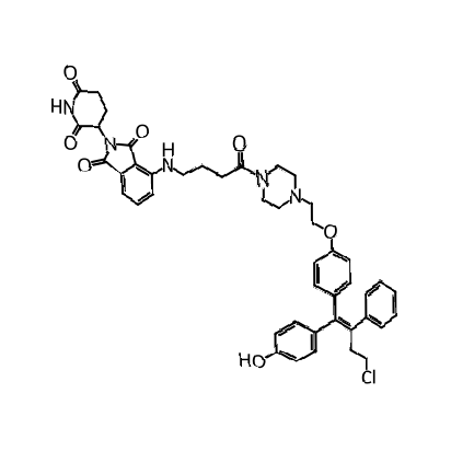 O=C1CCC(N2C(=O)c3cccc(NCCCC(=O)N4CCN(CCOc5ccc(C(=C(CCCl)c6ccccc6)c6ccc(O)cc6)cc5)CC4)c3C2=O)C(=O)N1